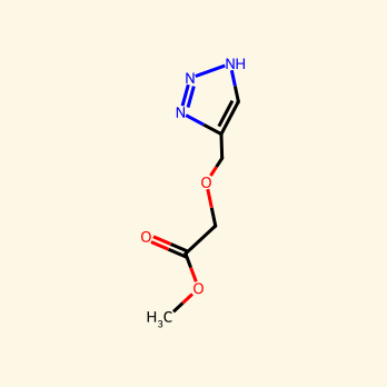 COC(=O)COCc1c[nH]nn1